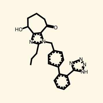 CCCc1nc2c(n1Cc1ccc(-c3ccccc3-c3nnn[nH]3)cc1)C(=O)CCCC2O